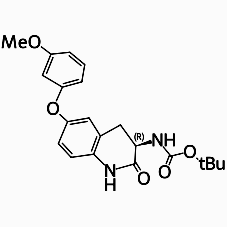 COc1cccc(Oc2ccc3c(c2)C[C@@H](NC(=O)OC(C)(C)C)C(=O)N3)c1